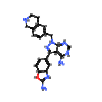 Nc1nc2cc(-c3nn(Cc4ccc5c(c4)CCNC5)c4ncnc(N)c34)ccc2o1